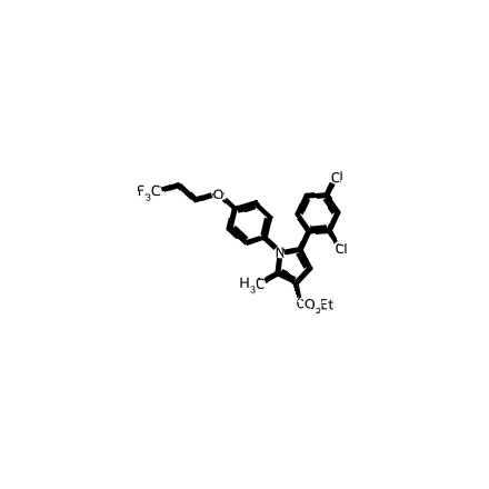 CCOC(=O)c1cc(-c2ccc(Cl)cc2Cl)n(-c2ccc(OCCC(F)(F)F)cc2)c1C